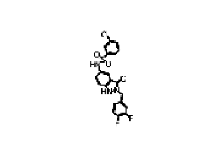 O=c1c2cc(NS(=O)(=O)c3cccc(Cl)c3)ccc2[nH]n1Cc1ccc(F)c(F)c1